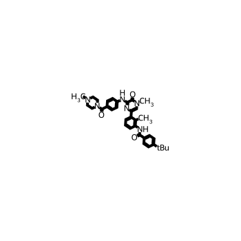 Cc1c(NC(=O)c2ccc(C(C)(C)C)cc2)cccc1-c1cn(C)c(=O)c(Nc2ccc(C(=O)N3CCN(C)CC3)cc2)n1